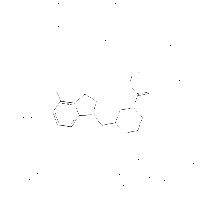 CC(C)(C)OC(=O)N1CCOC(CN2CCc3c(Br)cccc32)C1